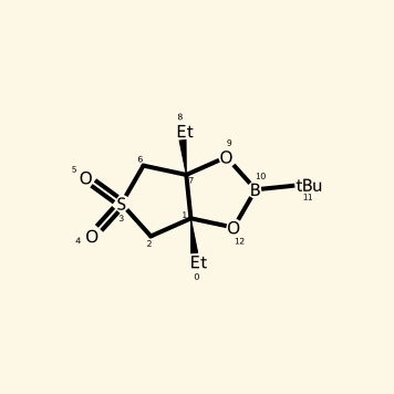 CC[C@@]12CS(=O)(=O)C[C@]1(CC)OB(C(C)(C)C)O2